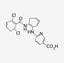 O=C(NC1=C(Nc2ccc(C(=O)O)cn2)C=C=CC1)C1=C(Cl)C=CCC1Cl